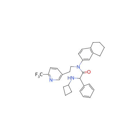 O=C(C(NC1CCC1)c1ccccc1)N(CCc1ccc(C(F)(F)F)nc1)c1ccc2c(c1)CCCC2